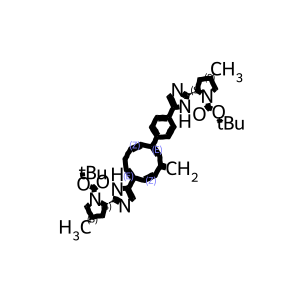 C=C1/C=C\C(c2cnc([C@@H]3C[C@H](C)CN3C(=O)OC(C)(C)C)[nH]2)=C/C/C=C\C(c2ccc(-c3cnc([C@@H]4C[C@H](C)CN4C(=O)OC(C)(C)C)[nH]3)cc2)=C/1